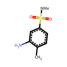 CNS(=O)(=O)c1ccc(C)c(N)c1